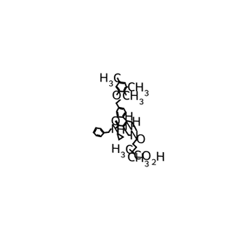 Cc1cc(C)c(C)c(OCCc2ccc(C3=C(C(=O)N(CCc4ccccc4)C4CC4)[C@H]4CN(C(=O)CCC(C)(C)C(=O)O)C[C@@H](C3)N4)cc2)c1